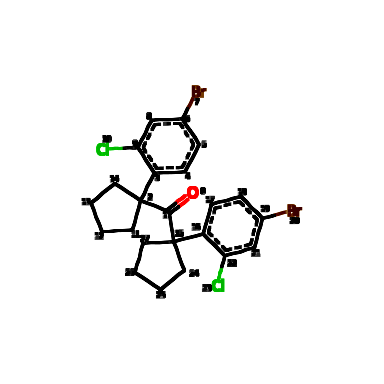 O=C(C1(c2ccc(Br)cc2Cl)CCCC1)C1(c2ccc(Br)cc2Cl)CCCC1